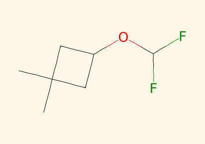 CC1(C)CC(OC(F)F)C1